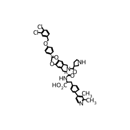 Cc1nccc(-c2ccc(CC(NC(=O)[C@@H]3Cc4cc5c(cc4CN3C(=O)C3CCNC3)O[C@@H](c3ccc(OCc4ccc(Cl)c(Cl)c4)cc3)CO5)C(=O)O)cc2)c1C